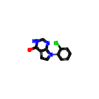 O=c1[nH]cnc2c1ccn2-c1ccccc1Cl